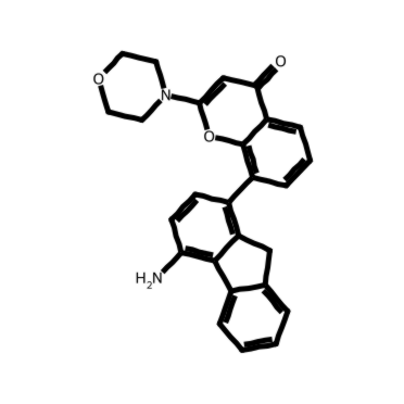 Nc1ccc(-c2cccc3c(=O)cc(N4CCOCC4)oc23)c2c1-c1ccccc1C2